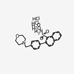 Cl.Cl.NS(=O)(=O)c1c(-c2ccc(CN3CCOCC3)cc2)ccc2ccccc12.O.O